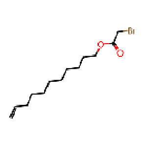 C=CCCCCCCCCCOC(=O)CBr